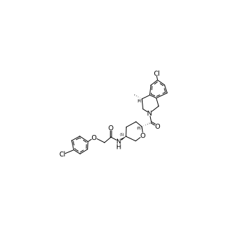 C[C@H]1CN(C(=O)[C@H]2CC[C@H](NC(=O)COc3ccc(Cl)cc3)CO2)Cc2ccc(Cl)cc21